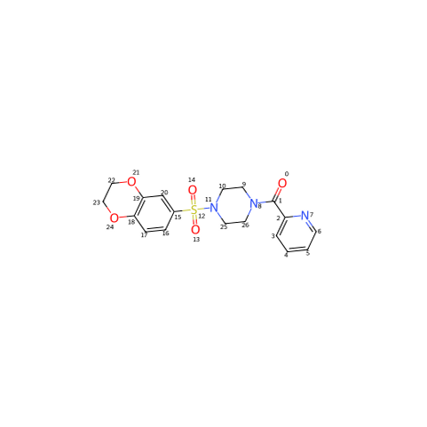 O=C(c1ccccn1)N1CCN(S(=O)(=O)c2ccc3c(c2)OCCO3)CC1